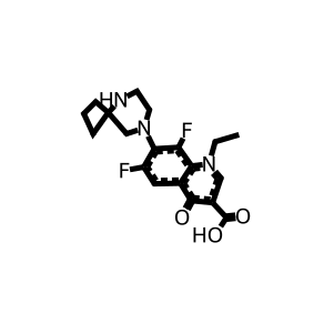 CCn1cc(C(=O)O)c(=O)c2cc(F)c(N3CCNC4(CCC4)C3)c(F)c21